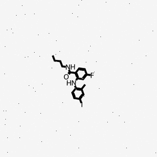 CCCCNC(=O)c1ccc(F)cc1Nc1ccc(I)cc1C